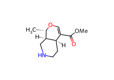 COC(=O)C1=CO[C@@H](C)[C@@H]2CNCC[C@H]12